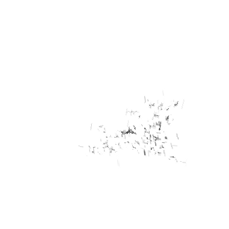 COC(OC(C(O)C(C)CO)C(O)C(O)OC1C(O)C(OC2C(O)C(CO)OC(OCN)C2O)OC2OC21)C(OC1OC(CO)C(O)C(O)C1O)C(O)C(O)C(C)CO